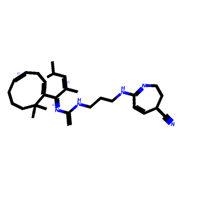 C=C(/N=C(C1=CC/C=C\CCCC1(C)C)\C(C)=C/C(C)C)NCCCNC1=NCCC(C#N)C=C1